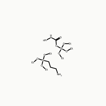 CCCNC(=O)O[Si](OCC)(OCC)OCC.CCO[Si](CCCN)(OCC)OCC